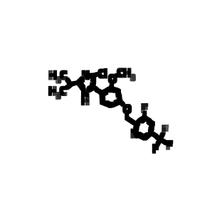 COc1cc(OCc2ncc(C(F)(F)F)cc2F)ccc1-c1[nH]c(C(C)C)nc1Cl